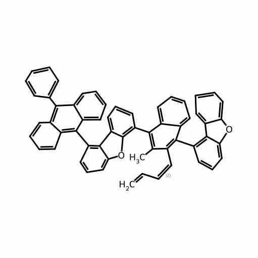 C=C/C=C\c1c(C)c(-c2cccc3c2oc2cccc(-c4c5ccccc5c(-c5ccccc5)c5ccccc45)c23)c2ccccc2c1-c1cccc2oc3ccccc3c12